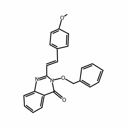 COc1ccc(C=Cc2nc3ccccc3c(=O)n2OCc2ccccc2)cc1